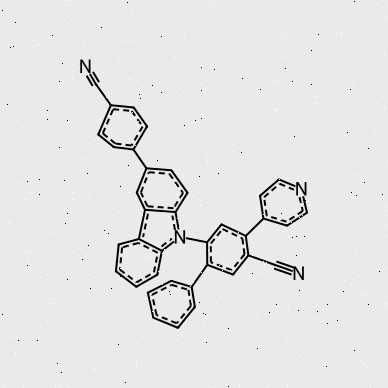 N#Cc1ccc(-c2ccc3c(c2)c2ccccc2n3-c2cc(-c3ccncc3)c(C#N)cc2-c2ccccc2)cc1